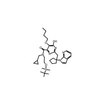 CCCCOc1c(O)nc(CC2(n3ccc4cccnc43)CCCC2)nc1C(=O)N(CCO[Si](C)(C)C(C)(C)C)CC1CC1